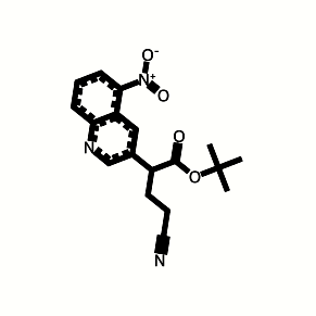 CC(C)(C)OC(=O)C(CCC#N)c1cnc2cccc([N+](=O)[O-])c2c1